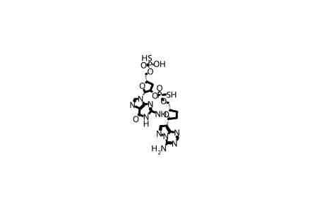 Nc1nc2c(ncn2[C@@H]2O[C@H](COP(=O)(O)S)CC2OP(=O)(S)OC[C@@H]2CC[C@H](c3cnn4c(N)ncnc34)O2)c(=O)[nH]1